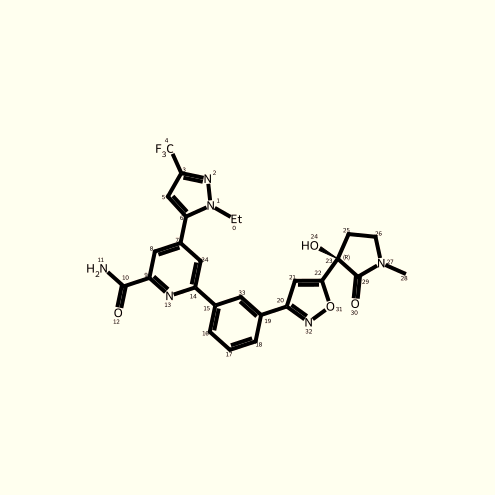 CCn1nc(C(F)(F)F)cc1-c1cc(C(N)=O)nc(-c2cccc(-c3cc([C@]4(O)CCN(C)C4=O)on3)c2)c1